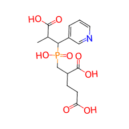 CC(C(=O)O)C(c1cccnc1)P(=O)(O)CC(CCC(=O)O)C(=O)O